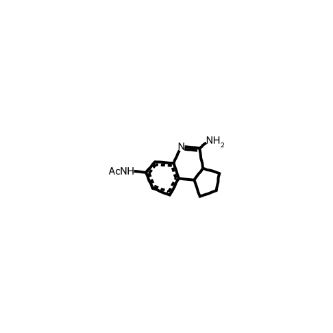 CC(=O)Nc1ccc2c(c1)N=C(N)C1CCCC21